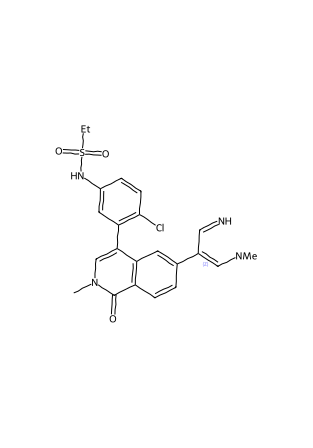 CCS(=O)(=O)Nc1ccc(Cl)c(-c2cn(C)c(=O)c3ccc(/C(C=N)=C/NC)cc23)c1